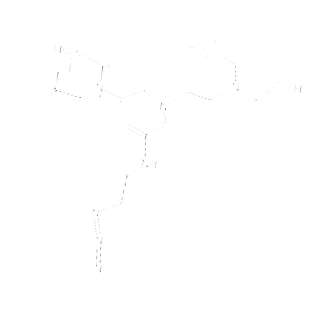 C=C(O)CN(CCN(CCN(CC(=O)O)CC(=O)O)CC(=O)NCCN=[N+]=[N-])CC(=O)O